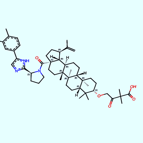 C=C(C)[C@@H]1CC[C@]2(C(=O)N3CCC[C@H]3c3ncc(-c4ccc(C)c(F)c4)[nH]3)CC[C@]3(C)[C@H](CC[C@@H]4[C@@]5(C)CC[C@H](OCC(=O)C(C)(C)C(=O)O)C(C)(C)[C@@H]5CC[C@]43C)[C@@H]12